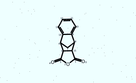 O=C1OC(=O)C2C3CC(c4ccccc43)C12